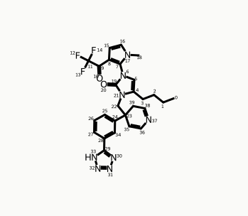 CCCCc1cn(-c2c(C(=O)C(F)(F)F)ccn2C)c(=O)n1CC1(c2cccc(-c3nnn[nH]3)c2)C=CN=CC1